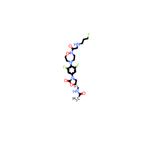 CC(=O)NC[C@H]1CN(c2cc(F)c(N3CCON(C(=O)CNCCCF)CC3)c(F)c2)C(=O)O1